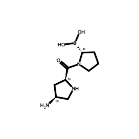 N[C@@H]1CN[C@H](C(=O)N2CCC[C@H]2B(O)O)C1